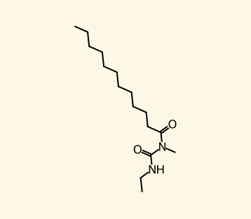 CCCCCCCCCCCC(=O)N(C)C(=O)NCC